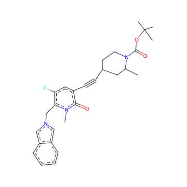 CC1CC(C#Cc2cc(F)c(Cn3cc4ccccc4c3)n(C)c2=O)CCN1C(=O)OC(C)(C)C